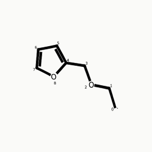 [CH2]COCc1ccco1